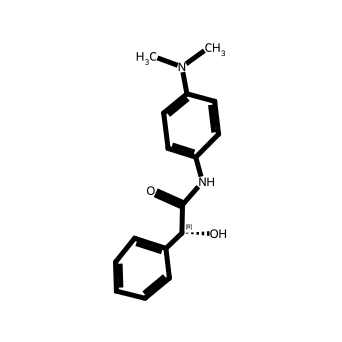 CN(C)c1ccc(NC(=O)[C@H](O)c2ccccc2)cc1